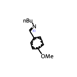 CCCC/N=C/c1ccc(OC)cc1